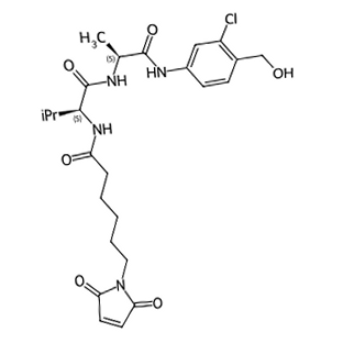 CC(C)[C@H](NC(=O)CCCCCN1C(=O)C=CC1=O)C(=O)N[C@@H](C)C(=O)Nc1ccc(CO)c(Cl)c1